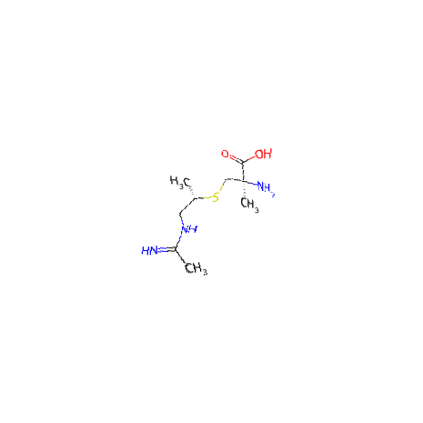 CC(=N)NC[C@H](C)SC[C@](C)(N)C(=O)O